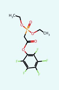 CCOP(=O)(CC(=O)Oc1c(F)c(F)c(F)c(F)c1F)OCC